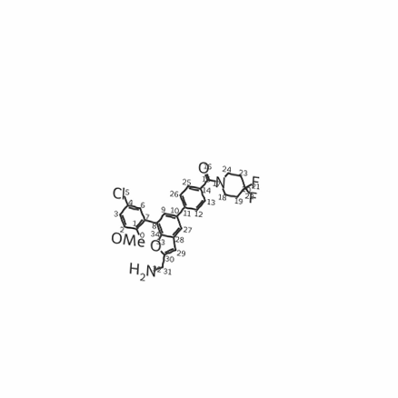 COc1ccc(Cl)cc1-c1cc(-c2ccc(C(=O)N3CCC(F)(F)CC3)cc2)cc2cc(CN)oc12